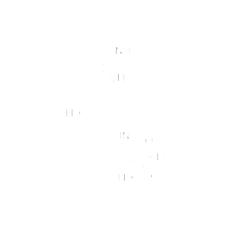 Cc1cc(CNC(=O)OC(C)(C)C)cc(C)c1CC(OC(N)=O)c1ccccc1